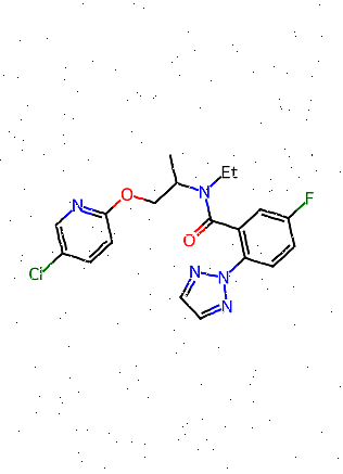 CCN(C(=O)c1cc(F)ccc1-n1nccn1)C(C)COc1ccc(Cl)cn1